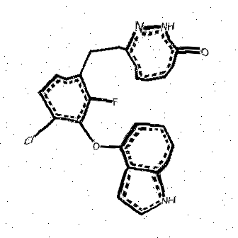 O=c1ccc(Cc2ccc(Cl)c(Oc3cccc4[nH]ccc34)c2F)n[nH]1